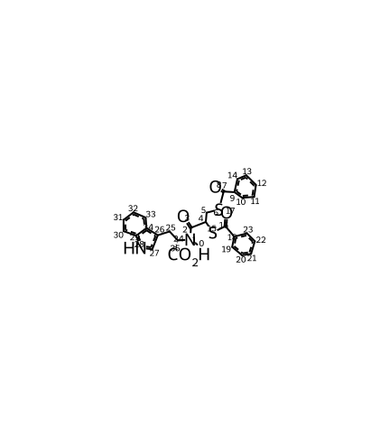 CN(C(=O)C(CSC(=O)c1ccccc1)SC(=O)c1ccccc1)[C@@H](Cc1c[nH]c2ccccc12)C(=O)O